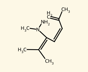 C=C(C)/C=C\C(=C(C)C)N(C)N